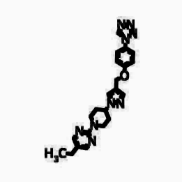 CCc1cnc(N2CCC(n3cc(COc4ccc(-n5cnnn5)cc4)cn3)CC2)nc1